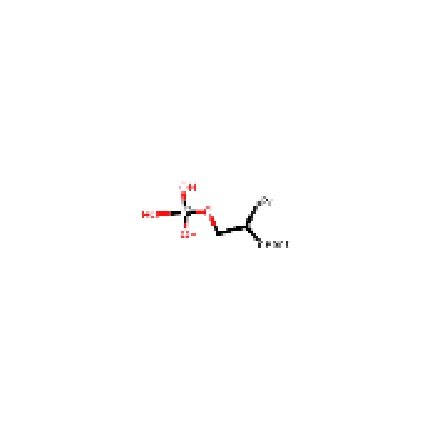 CCCCCC(CCC)CO[Si](O)(O)O